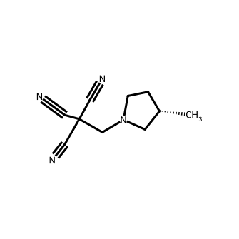 C[C@H]1CCN(CC(C#N)(C#N)C#N)C1